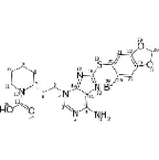 Nc1ncn(CC[C@H]2CCCCN2C(=O)O)c2nc(Sc3cc4c(cc3Br)OCO4)nc1-2